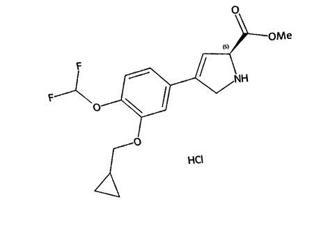 COC(=O)[C@@H]1C=C(c2ccc(OC(F)F)c(OCC3CC3)c2)CN1.Cl